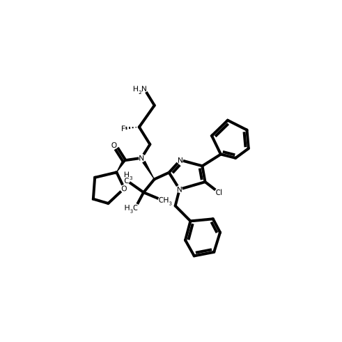 CC(C)(C)[C@H](c1nc(-c2ccccc2)c(Cl)n1Cc1ccccc1)N(C[C@H](F)CN)C(=O)[C@@H]1CCCO1